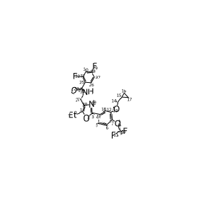 C[CH]c1oc(-c2ccc(OC(F)F)c(OCC3CC3)c2)nc1CNC(=O)c1ccc(F)cc1F